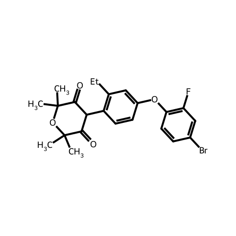 CCc1cc(Oc2ccc(Br)cc2F)ccc1C1C(=O)C(C)(C)OC(C)(C)C1=O